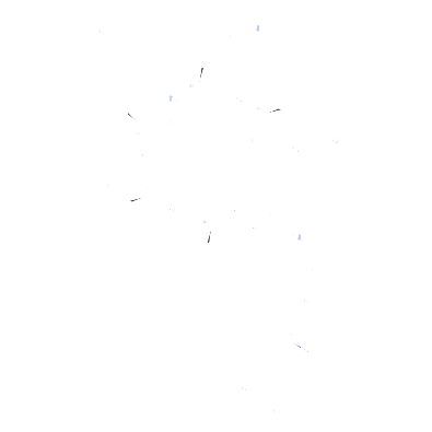 NCCCC[C@H](NC(=O)[C@H](CO)NC(=O)[C@H](CS)NC(=O)[C@H](CO)NC(=O)[C@@H]1CCCN1C(=O)[C@@H](N)Cc1c[nH]cn1)C(=O)N[C@@H](CCC(N)=O)C(=O)N[C@@H](Cc1c[nH]cn1)C(=O)O